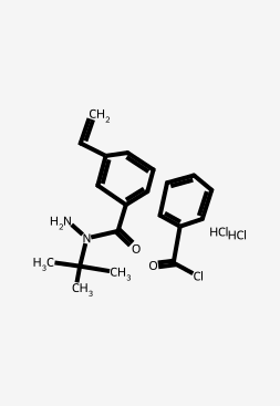 C=Cc1cccc(C(=O)N(N)C(C)(C)C)c1.Cl.Cl.O=C(Cl)c1ccccc1